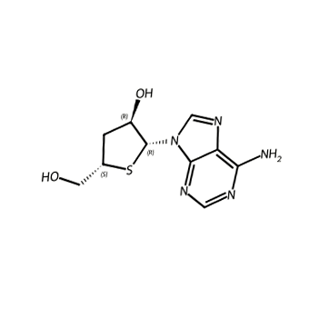 Nc1ncnc2c1ncn2[C@@H]1S[C@H](CO)C[C@H]1O